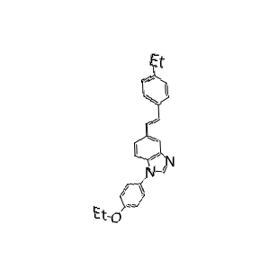 CCOc1ccc(-n2cnc3cc(C=Cc4ccc(CC)cc4)ccc32)cc1